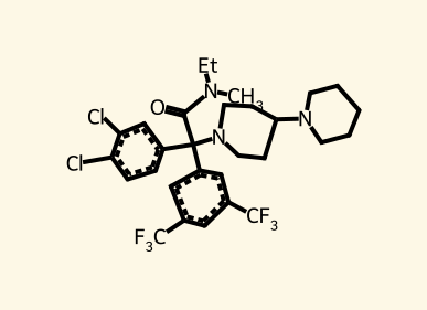 CCN(C)C(=O)C(c1cc(C(F)(F)F)cc(C(F)(F)F)c1)(c1ccc(Cl)c(Cl)c1)N1CCC(N2CCCCC2)CC1